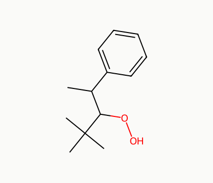 CC(c1ccccc1)C(OO)C(C)(C)C